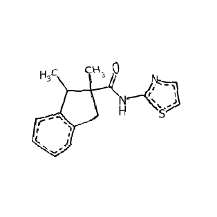 CC1c2ccccc2CC1(C)C(=O)Nc1nccs1